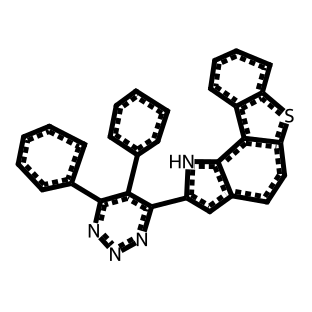 c1ccc(-c2nnnc(-c3cc4ccc5sc6ccccc6c5c4[nH]3)c2-c2ccccc2)cc1